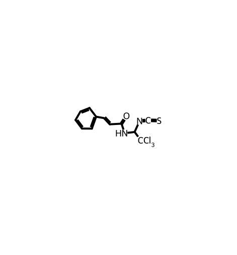 O=C(C=Cc1ccccc1)NC(N=C=S)C(Cl)(Cl)Cl